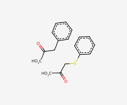 O=C(O)C(=O)CSc1ccccc1.O=C(O)C(=O)Cc1ccccc1